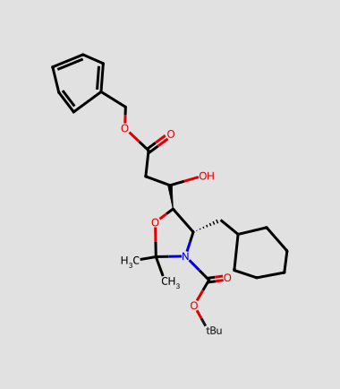 CC(C)(C)OC(=O)N1[C@@H](CC2CCCCC2)[C@H](C(O)CC(=O)OCc2ccccc2)OC1(C)C